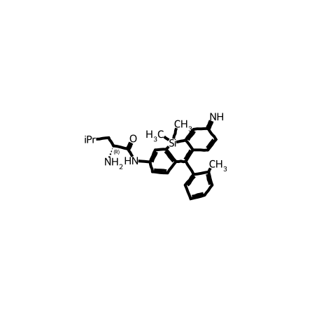 Cc1ccccc1C1=C2C=CC(=N)C=C2[Si](C)(C)c2cc(NC(=O)[C@H](N)CC(C)C)ccc21